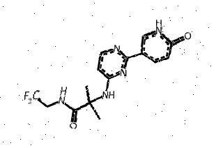 CC(C)(Nc1ccnc(-c2ccc(=O)[nH]c2)n1)C(=O)NCC(F)(F)F